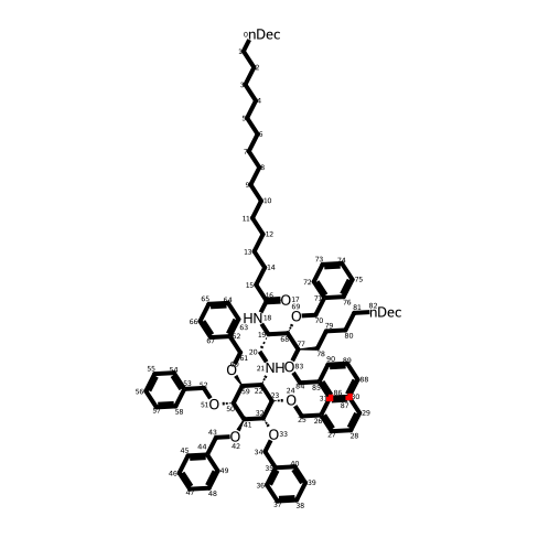 CCCCCCCCCCCCCCCCCCCCCCCCCC(=O)N[C@@H](CN[C@@H]1[C@H](OCc2ccccc2)[C@H](OCc2ccccc2)[C@@H](OCc2ccccc2)[C@H](OCc2ccccc2)[C@H]1OCc1ccccc1)[C@H](OCc1ccccc1)[C@@H](CCCCCCCCCCCCCC)OCc1ccccc1